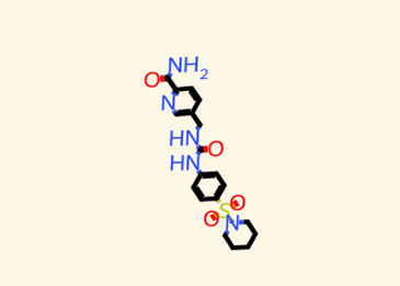 NC(=O)c1ccc(CNC(=O)Nc2ccc(S(=O)(=O)N3CCCCC3)cc2)cn1